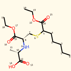 CCCCCC(SC[C@H](N[C@@H](C)C(=O)O)C(=O)OCC)C(=O)OCC